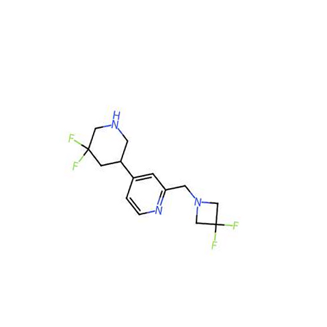 FC1(F)CNCC(c2ccnc(CN3CC(F)(F)C3)c2)C1